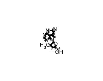 C[C@H]1C[C@@H](CO)O[C@H]1n1cc(C#N)c2c(N)ncnc21